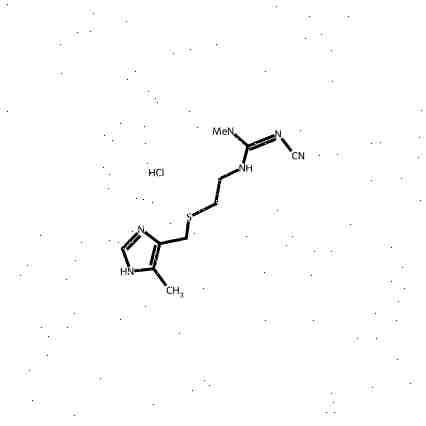 CN/C(=N/C#N)NCCSCc1nc[nH]c1C.Cl